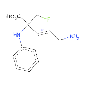 NC/C=C/C(CF)(Nc1ccccc1)C(=O)O